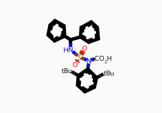 CC(C)(C)c1cccc(C(C)(C)C)c1N(C(=O)O)S(=O)(=O)NC(c1ccccc1)c1ccccc1